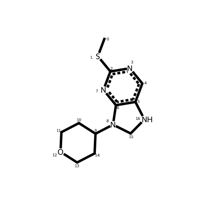 CSc1ncc2c(n1)N(C1CCOCC1)CN2